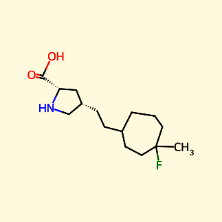 CC1(F)CCCC(CC[C@@H]2CN[C@H](C(=O)O)C2)CC1